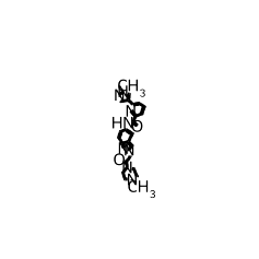 CN1CCN(C(=O)Cn2cc3cc(NC(=O)c4cccc(-c5cnn(C)c5)n4)ccc3n2)CC1